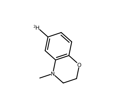 [2H]c1ccc2c(c1)N(C)CCO2